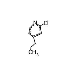 CCCc1ccnc(Cl)c1